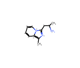 Cc1nc(CC(C)N)n2ccccc12